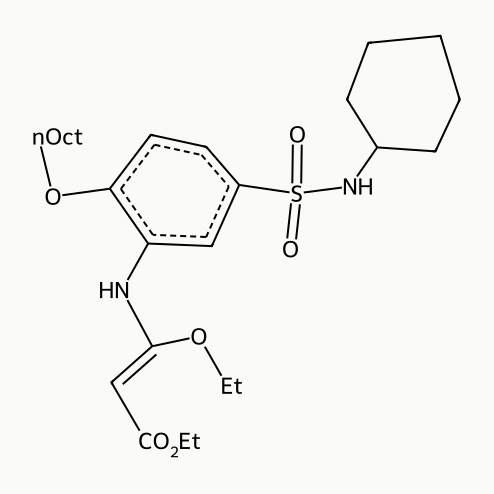 CCCCCCCCOc1ccc(S(=O)(=O)NC2CCCCC2)cc1NC(=CC(=O)OCC)OCC